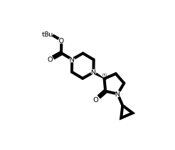 CC(C)(C)OC(=O)N1CCN([C@H]2CCN(C3CC3)C2=O)CC1